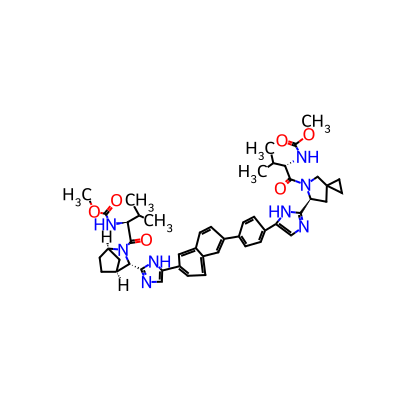 COC(=O)N[C@H](C(=O)N1CC2(CC2)C[C@H]1c1ncc(-c2ccc(-c3ccc4cc(-c5cnc([C@@H]6[C@H]7CC[C@H](C7)N6C(=O)[C@@H](NC(=O)OC)C(C)C)[nH]5)ccc4c3)cc2)[nH]1)C(C)C